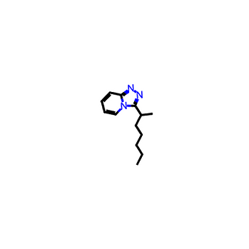 CCCCCC(C)c1nnc2ccccn12